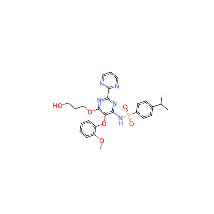 COc1ccccc1Oc1c(NS(=O)(=O)c2ccc(C(C)C)cc2)nc(-c2ncccn2)nc1OCCCO